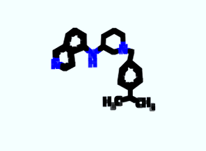 CC(C)c1ccc(CN2CCCC(Nc3cccc4cnccc34)C2)cc1